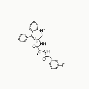 C[C@H](NC(=O)Cc1cccc(F)c1)C(=O)N[C@@H]1CN(C)c2ccccc2C(c2ccccc2)=N1